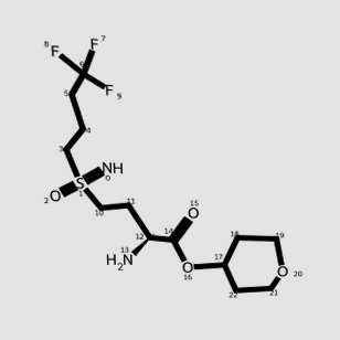 N=S(=O)(CCCC(F)(F)F)CC[C@H](N)C(=O)OC1CCOCC1